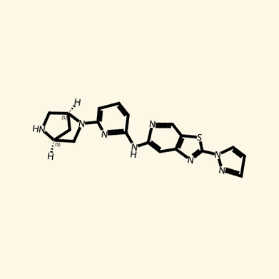 c1cc(Nc2cc3nc(-n4cccn4)sc3cn2)nc(N2C[C@@H]3C[C@H]2CN3)c1